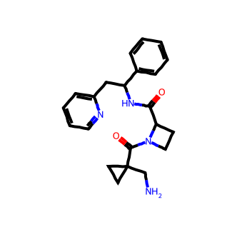 NCC1(C(=O)N2CCC2C(=O)NC(Cc2ccccn2)c2ccccc2)CC1